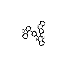 c1ccc2c(c1)ccc1cc(-c3nc4ccccc4nc3-c3ccc(-c4cccc5oc6ccccc6c45)cc3)ccc12